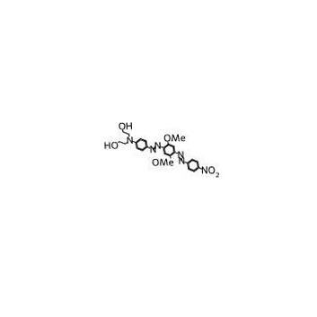 COc1cc(N=Nc2ccc([N+](=O)[O-])cc2)c(OC)cc1N=Nc1ccc(N(CCO)CCO)cc1